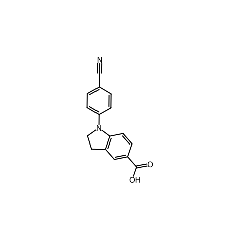 N#Cc1ccc(N2CCc3cc(C(=O)O)ccc32)cc1